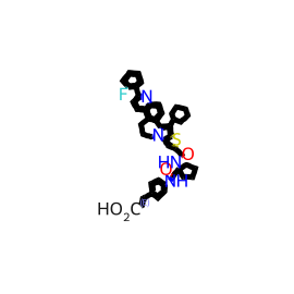 O=C(O)/C=C/c1ccc(NC(=O)C2(NC(=O)c3cc4c(s3)c(C3CCCCC3)c3n4CCCc4c-3ccc3nc(-c5ccccc5F)ccc43)CCCC2)cc1